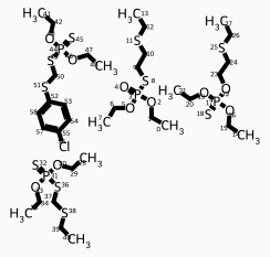 CCOP(=O)(OCC)SCCSCC.CCOP(=S)(OCC)OCCSCC.CCOP(=S)(OCC)SCSCC.CCOP(=S)(OCC)SCSc1ccc(Cl)cc1